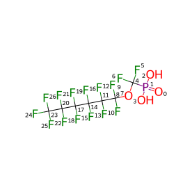 O=P(O)(O)C(F)(F)OC(F)(F)C(F)(F)C(F)(F)C(F)(F)C(F)(F)C(F)(F)F